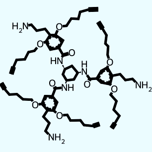 C#CCCCCOc1cc(C(=O)N[C@H]2C[C@@H](NC(=O)c3cc(OCCCCC#C)c(CCCN)c(OCCCCC#C)c3)C[C@@H](NC(=O)c3cc(OCCCCC#C)c(CCCN)c(OCCCCC#C)c3)C2)cc(OCCCCC#C)c1CCCN